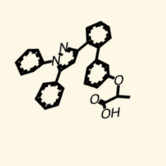 CC(Oc1cccc(-c2ccccc2-c2cc(-c3ccccc3)n(-c3ccccc3)n2)c1)C(=O)O